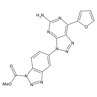 COC(=O)n1nnc2cc(-n3nnc4c(-c5ccco5)nc(N)nc43)ccc21